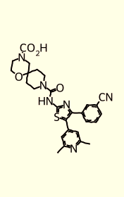 Cc1cc(-c2sc(NC(=O)N3CCC4(CC3)CN(C(=O)O)CCO4)nc2-c2cccc(C#N)c2)cc(C)n1